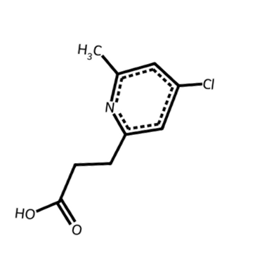 Cc1cc(Cl)cc(CCC(=O)O)n1